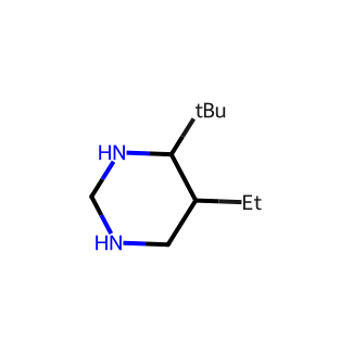 CCC1CNCNC1C(C)(C)C